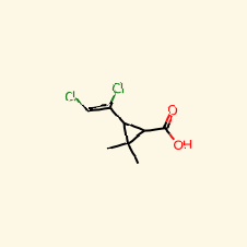 CC1(C)C(C(=O)O)C1/C(Cl)=C/Cl